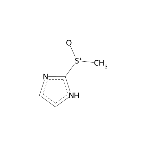 C[S+]([O-])c1ncc[nH]1